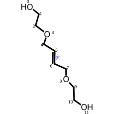 OCCOC/C=C/COCCO